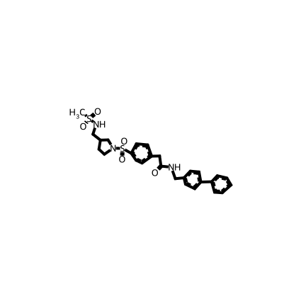 CS(=O)(=O)NCC1CCN(S(=O)(=O)c2ccc(CC(=O)NCc3ccc(-c4ccccc4)cc3)cc2)C1